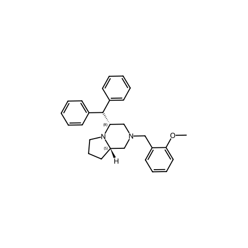 COc1ccccc1CN1C[C@@H]2CCCN2[C@H](C(c2ccccc2)c2ccccc2)C1